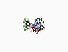 CCN(CCF)C[C@@]1(C(=O)Nc2cc(C(F)(F)F)cc(C(F)(F)F)c2)CN(c2c(C)cccc2C)C(=O)C1C